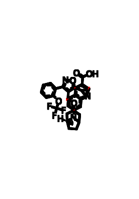 O=C(O)c1cnc2cc(N3C4CC[C@H]3CC(OCc3c(-c5ccccc5OC(F)(F)F)noc3C3CC3)C4)ccc2c1